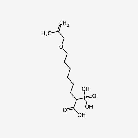 C=C(C)COCCCCCCC(C(=O)O)P(=O)(O)O